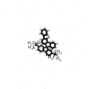 CC(C)(C)c1ccc2c(c1)C1(C3=C2C=CC(C(C)(C)C)C3)c2ccccc2-c2c1ccc1c2sc2ccccc21